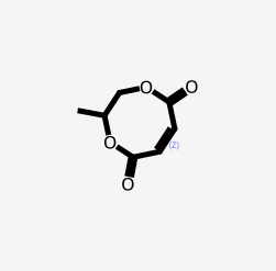 CC1COC(=O)/C=C\C(=O)O1